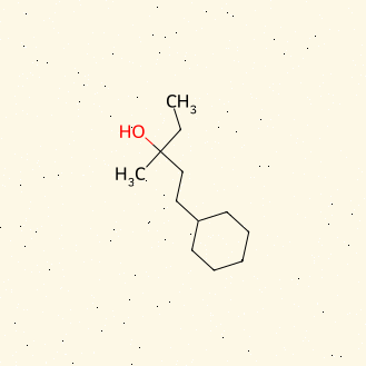 CCC(C)(O)CCC1CCCCC1